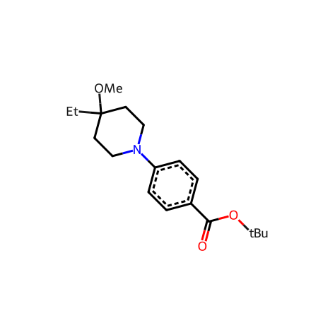 CCC1(OC)CCN(c2ccc(C(=O)OC(C)(C)C)cc2)CC1